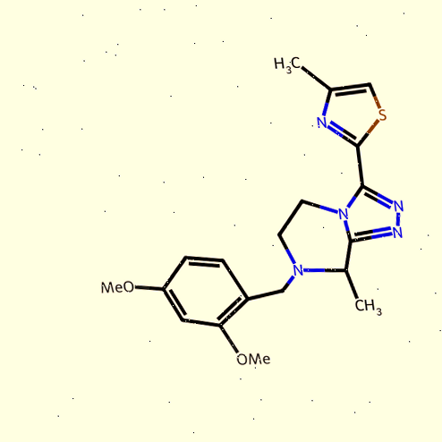 COc1ccc(CN2CCn3c(-c4nc(C)cs4)nnc3C2C)c(OC)c1